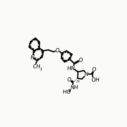 Cc1cc(CCOc2ccc(C(=O)NC3CN(C(=O)O)C[C@@H]3C(=O)NO)cc2)c2ccccc2n1